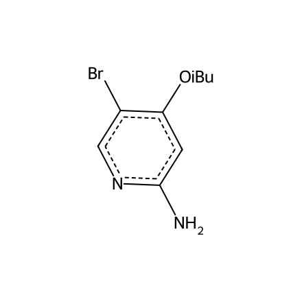 CC(C)COc1cc(N)ncc1Br